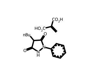 C=C(C(=O)O)C(=O)O.CCCCC1C(=O)NN(c2ccccc2)C1=O